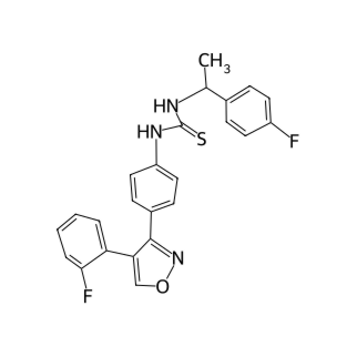 CC(NC(=S)Nc1ccc(-c2nocc2-c2ccccc2F)cc1)c1ccc(F)cc1